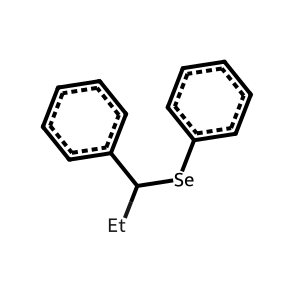 CCC([Se]c1ccccc1)c1ccccc1